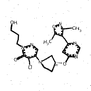 Cc1noc(C)c1-c1cc(O[C@@H]2CCN(c3cnn(CCCO)c(=O)c3Cl)C2)ncn1